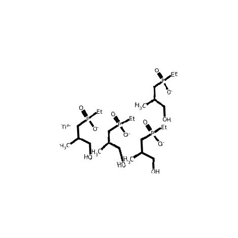 CCP(=O)([O-])CC(C)CO.CCP(=O)([O-])CC(C)CO.CCP(=O)([O-])CC(C)CO.CCP(=O)([O-])CC(C)CO.[Ti+4]